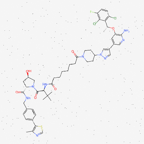 Cc1ncsc1-c1ccc(CNC(=O)[C@@H]2C[C@@H](O)CN2C(=O)[C@@H](NC(=O)CCCCCCC(=O)N2CCC(n3cc(-c4cnc(N)c(O[C@H](C)c5c(Cl)ccc(F)c5Cl)c4)cn3)CC2)C(C)(C)C)cc1